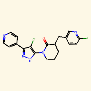 O=C1C(Cc2ccc(F)nc2)CCCN1c1[nH]nc(-c2ccncc2)c1Cl